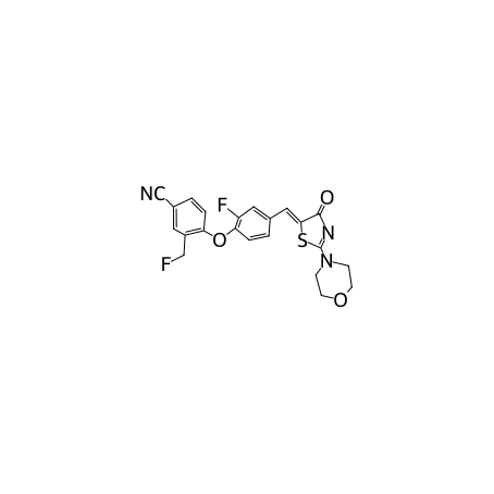 N#Cc1ccc(Oc2ccc(/C=C3\SC(N4CCOCC4)=NC3=O)cc2F)c(CF)c1